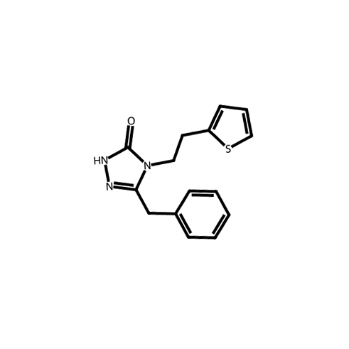 O=c1[nH]nc(Cc2ccccc2)n1CCc1cccs1